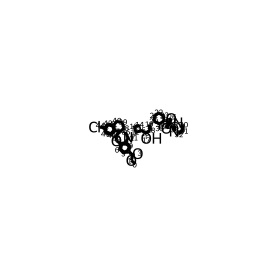 COC(=O)c1ccc2c(c1)N(C[C@@H]1CC[C@H]1[C@@H](O)/C=C/[C@@H]1CCC[C@@H](S(=O)(=O)c3ncccn3)[C@H]1C)C[C@@]1(CCCc3cc(Cl)ccc31)CO2